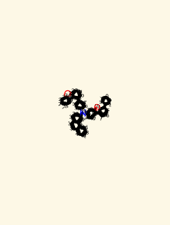 c1ccc(-c2cccc3c2oc2cc(N(c4ccc(-c5cccc6oc7ccccc7c56)cc4)c4ccc5ccc6ccccc6c5c4)ccc23)cc1